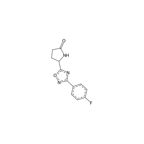 O=C1CCC(c2nc(-c3ccc(F)cc3)no2)N1